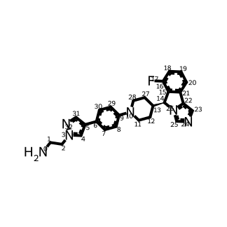 NCCn1cc(-c2ccc(N3CCC([C@H]4c5c(F)cccc5-c5cncn54)CC3)cc2)cn1